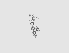 CC(C)CC(=O)NC1CCN(c2cnc(-c3ccc(C(F)(F)F)cc3)c(-c3ccncc3Cl)n2)CC1